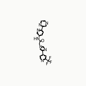 O=C(Cn1cnc(-c2ccnc(C(F)(F)F)c2)c1)Nc1ccc(-c2cnccn2)nc1